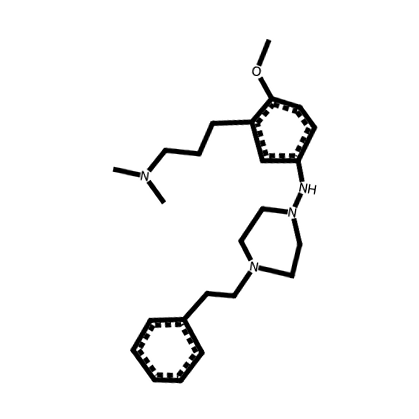 COc1ccc(NN2CCN(CCc3ccccc3)CC2)cc1CCCN(C)C